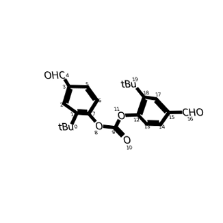 CC(C)(C)c1cc(C=O)ccc1OC(=O)Oc1ccc(C=O)cc1C(C)(C)C